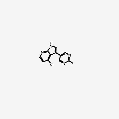 Cc1ncc(-c2c[nH]c3nccc(Cl)c23)cn1